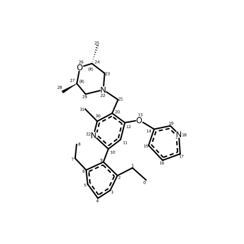 CCc1cccc(CC)c1-c1cc(Oc2cccnc2)c(CN2C[C@@H](C)O[C@H](C)C2)c(C)n1